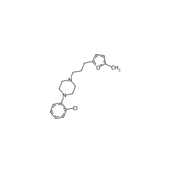 Cc1ccc(CCCN2CCN(c3ccccc3Cl)CC2)o1